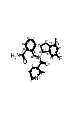 Cc1ncccc1C(=O)N(Cc1ccccc1C(N)=O)[C@@H]1CCc2c(F)cc(F)cc21